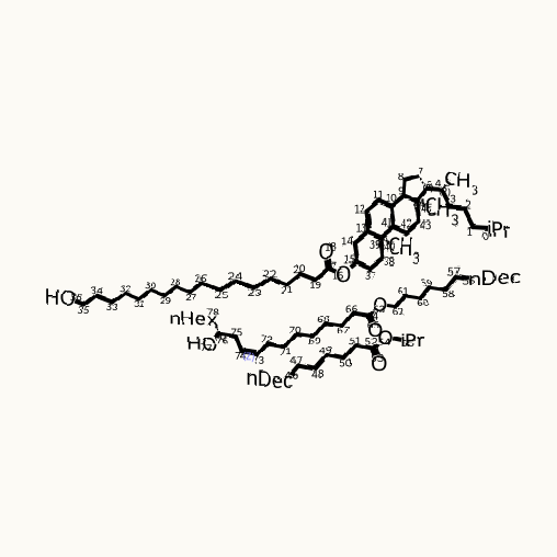 CC(C)CCC[C@@H](C)[C@H]1CCC2C3CC=C4CC(OC(=O)CCCCCCCCCCCCCCCCCO)CC[C@]4(C)C3CC[C@@]21C.CCCCCCCCCCCCCCCC(=O)OC(C)C.CCCCCCCCCCCCCCCCOC(=O)CCCCCCC/C=C\C[C@H](O)CCCCCC